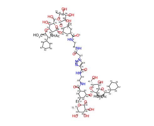 CC[C@H]1C[C@@H](C(=O)NCCNC(=O)Cn2cc(C(=O)NCCNC(=O)[C@@H]3C[C@H](CC)[C@@H](O[C@@H]4O[C@@H](C)[C@@H](O)[C@@H](O)[C@@H]4O)[C@H](O[C@@H]4O[C@H](CO)[C@H](O)[C@H](O[C@@H](CC5CCCCC5)C(=O)O)[C@H]4NC(C)=O)C3)nn2)C[C@@H](O[C@@H]2O[C@H](CO)[C@H](O)[C@H](O[C@@H](CC3CCCCC3)C(=O)O)[C@H]2NC(C)=O)[C@@H]1O[C@@H]1O[C@@H](C)[C@@H](O)[C@@H](O)[C@@H]1O